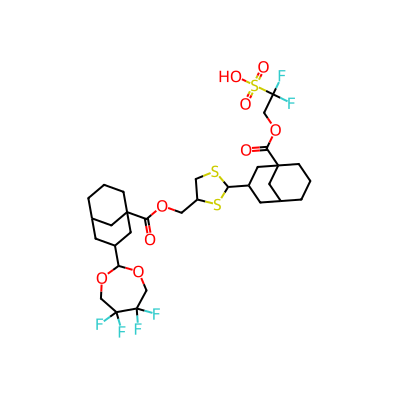 O=C(OCC1CSC(C2CC3CCCC(C(=O)OCC(F)(F)S(=O)(=O)O)(C3)C2)S1)C12CCCC(CC(C3OCC(F)(F)C(F)(F)CO3)C1)C2